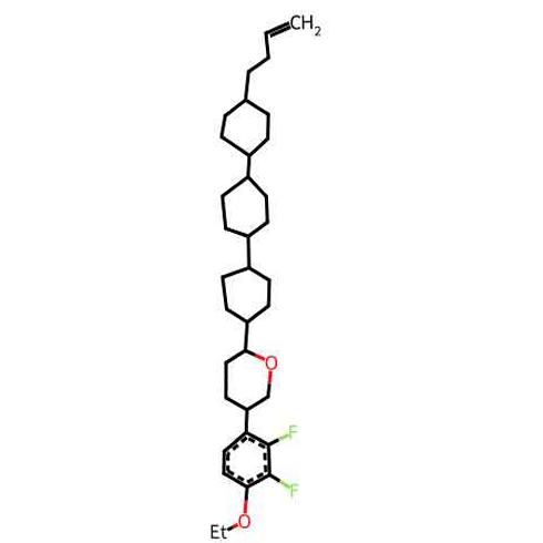 C=CCCC1CCC(C2CCC(C3CCC(C4CCC(c5ccc(OCC)c(F)c5F)CO4)CC3)CC2)CC1